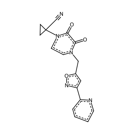 N#CC1(n2ccn(Cc3cc(-c4ccccn4)no3)c(=O)c2=O)CC1